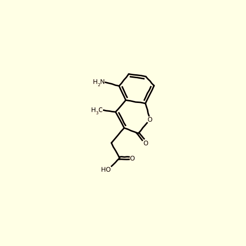 Cc1c(CC(=O)O)c(=O)oc2cccc(N)c12